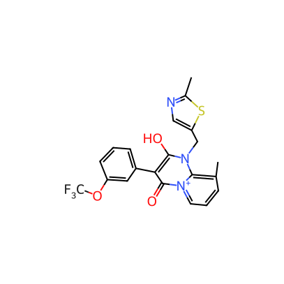 Cc1ncc(Cn2c(O)c(-c3cccc(OC(F)(F)F)c3)c(=O)[n+]3cccc(C)c23)s1